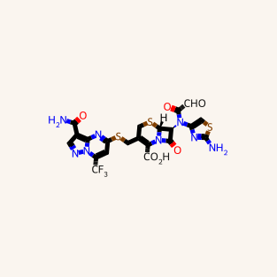 NC(=O)c1cnn2c(C(F)(F)F)cc(SCC3=C(C(=O)O)N4C(=O)[C@@H](N(C(=O)C=O)c5csc(N)n5)[C@H]4SC3)nc12